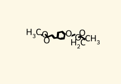 C=C(C)C(=O)OCCOc1ccc(/C=C/C(=O)OCC)cc1